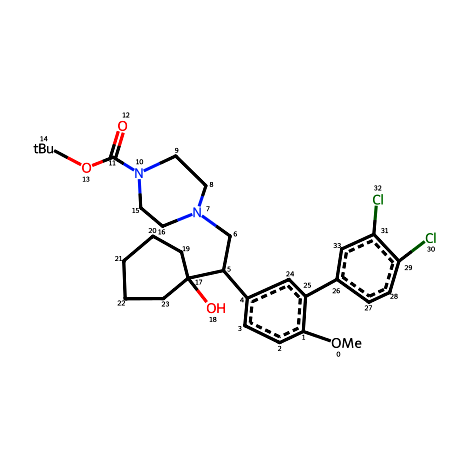 COc1ccc(C(CN2CCN(C(=O)OC(C)(C)C)CC2)C2(O)CCCCC2)cc1-c1ccc(Cl)c(Cl)c1